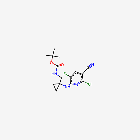 CC(C)(C)OC(=O)NCC1(Nc2nc(Cl)c(C#N)cc2F)CC1